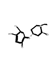 CC[C@H]1C[C@H](Sc2cc(Cl)c(O)cc2Cl)CCN1C